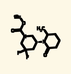 CC1CCCC(=O)N1[C@H]1CN(C(=O)OC(C)(C)C)CC(F)(F)C1